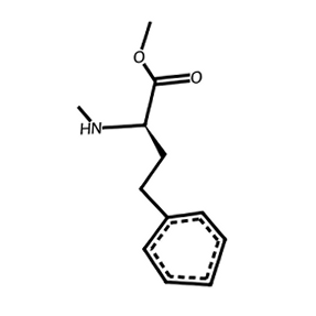 CN[C@H](CCc1ccccc1)C(=O)OC